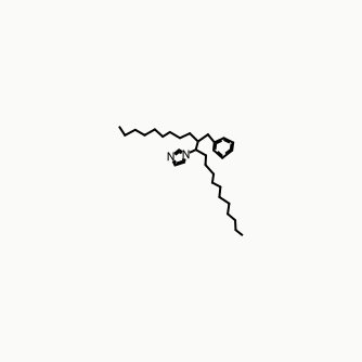 CCCCCCCCCCCC(C(CCCCCCCCC)Cc1ccccc1)n1ccnc1